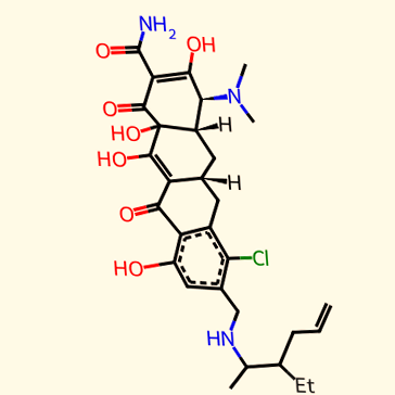 C=CCC(CC)C(C)NCc1cc(O)c2c(c1Cl)C[C@H]1C[C@H]3[C@H](N(C)C)C(O)=C(C(N)=O)C(=O)C3(O)C(O)=C1C2=O